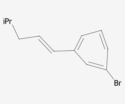 CC(C)CC=Cc1cccc(Br)c1